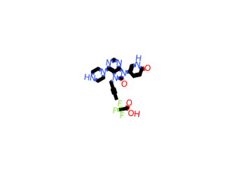 CC#CCn1c(=O)n(-c2ccc(=O)[nH]c2)c2ncnc(N3CCNCC3)c21.O=C(O)C(F)(F)F